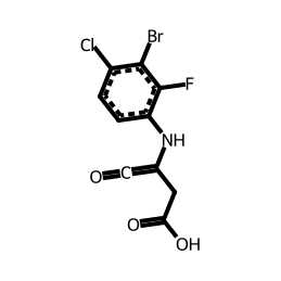 O=C=C(CC(=O)O)Nc1ccc(Cl)c(Br)c1F